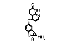 N[C@H]1C2c3cc(Oc4ccnc5c4CCC(=O)N5)ccc3O[C@@H]21